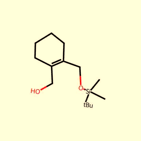 CC(C)(C)[Si](C)(C)OCC1=C(CO)CCCC1